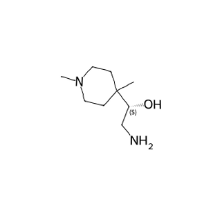 CN1CCC(C)([C@H](O)CN)CC1